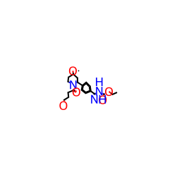 CCOC(=O)NC(=N)c1ccc(C2CC([O])CCN2C(=O)CCC=O)cc1